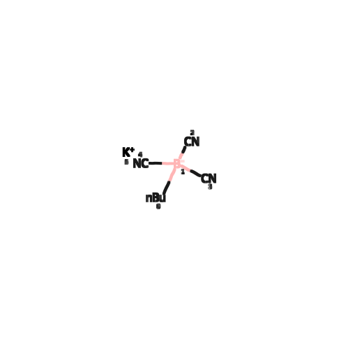 CCCC[B-](C#N)(C#N)C#N.[K+]